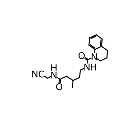 CC(CCNC(=O)N1CCCc2ccccc21)CC(=O)NCC#N